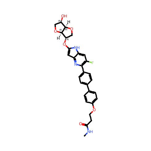 CNC(=O)CCOc1ccc(-c2ccc(-c3nc4cc(O[C@@H]5CO[C@H]6[C@@H]5OC[C@H]6O)[nH]c4cc3F)cc2)cc1